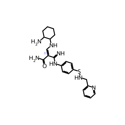 N=C(Nc1ccc(SNCc2ccccn2)cc1)/C(=C\NC1CCCCC1N)C(N)=O